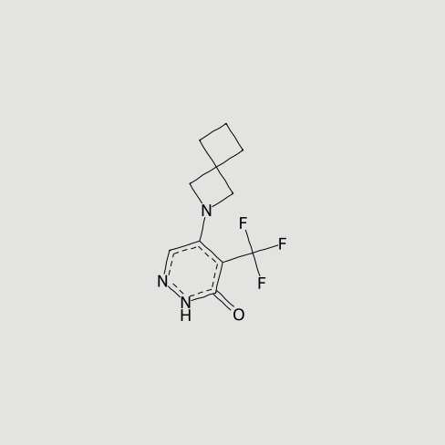 O=c1[nH]ncc(N2CC3(CCC3)C2)c1C(F)(F)F